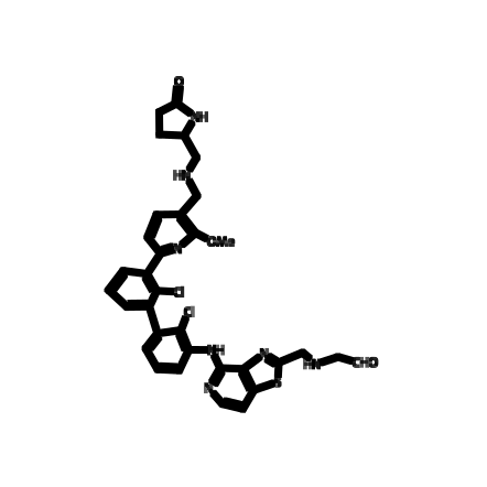 COc1nc(-c2cccc(-c3cccc(Nc4nccc5sc(CNCC=O)nc45)c3Cl)c2Cl)ccc1CNCC1CCC(=O)N1